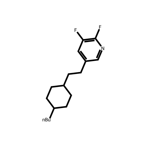 CCCCC1CCC(CCc2cnc(F)c(F)c2)CC1